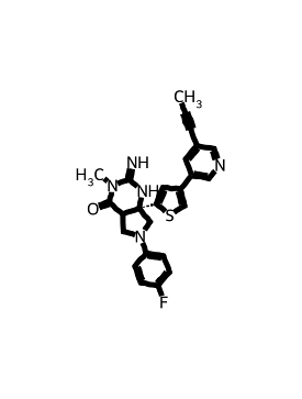 CC#Cc1cncc(-c2csc([C@]34CN(c5ccc(F)cc5)CC3C(=O)N(C)C(=N)N4)c2)c1